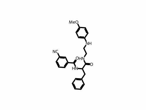 COc1ccc(NCCNC(=O)C(Cc2ccccc2)NC(=O)c2cccc(C#N)c2)cc1